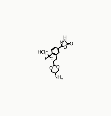 Cl.NC1COC(CCc2cc(-c3n[nH]c(=O)o3)ccc2C(F)(F)F)OC1